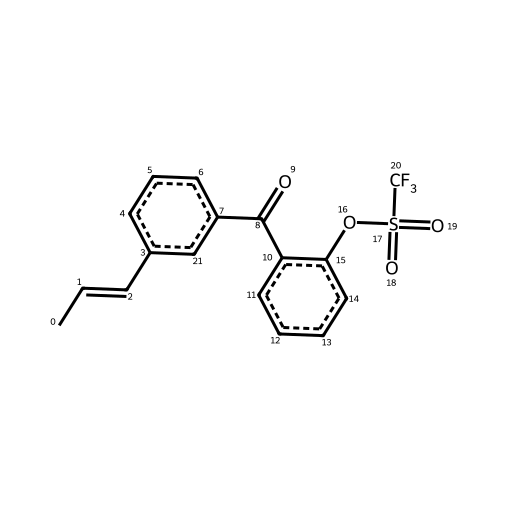 CC=Cc1cccc(C(=O)c2ccccc2OS(=O)(=O)C(F)(F)F)c1